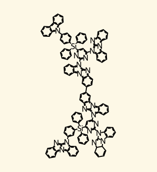 C1=CC2N=C3N(c4nc(-n5c6ccccc6n6c7cc(-c8ccc9nc%10n(-c%11nc(-n%12c%13ccccc%13n%13c%14ccccc%14nc%12%13)cc([Si](c%12ccccc%12)(c%12ccccc%12)c%12ccc(-n%13c%14ccccc%14c%14ccccc%14%13)cc%12)n%11)c%11ccccc%11n%10c9c8)ccc7nc56)cc([Si](c5ccccc5)(c5ccccc5)c5cccc(-n6c7ccccc7n7c8ccccc8nc67)c5)n4)c4ccccc4N3C2C=C1